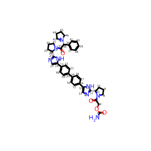 NC(=O)OCC(=O)N1CCC[C@H]1c1ncc(-c2ccc(-c3ccc(-c4cnc([C@@H]5CCCN5C(=O)[C@@H](c5ccccc5)N5CCCC5)[nH]4)cc3)cc2)[nH]1